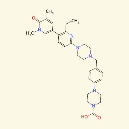 CCc1nc(N2CCN(Cc3ccc(N4CCN(C(=O)O)CC4)cc3)CC2)ccc1-c1cc(C)c(=O)n(C)c1